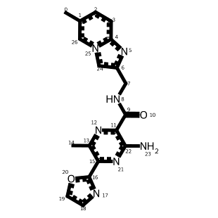 Cc1ccc2nc(CNC(=O)c3nc(C)c(-c4ncco4)nc3N)cn2c1